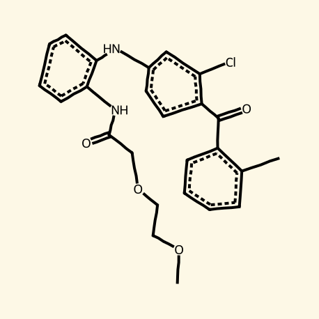 COCCOCC(=O)Nc1ccccc1Nc1ccc(C(=O)c2ccccc2C)c(Cl)c1